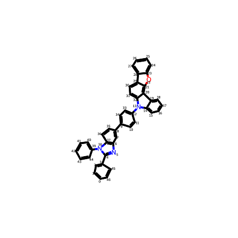 c1ccc(-c2nc3cc(-c4ccc(-n5c6ccccc6c6c7oc8ccccc8c7ccc65)cc4)ccc3n2-c2ccccc2)cc1